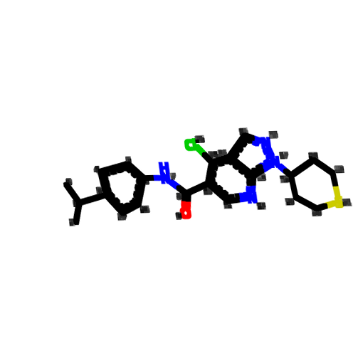 CC(C)c1ccc(NC(=O)c2cnc3c(cnn3C3CCSCC3)c2Cl)cc1